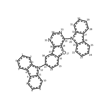 c1ccc2c(c1)c1ccccc1n2-c1ccc2oc3c(-n4c5ccccc5c5ccccc54)ncnc3c2c1